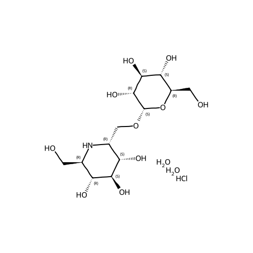 Cl.O.O.OC[C@H]1N[C@H](CO[C@H]2O[C@H](CO)[C@@H](O)[C@H](O)[C@H]2O)[C@H](O)[C@@H](O)[C@@H]1O